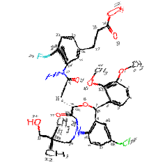 COc1cccc([C@@H]2O[C@@H](CC(=O)Nc3cc(CCC(=O)O)ccc3F)C(=O)N(CC(C)(C)CO)c3ccc(Cl)cc32)c1OC